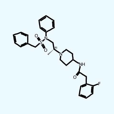 C[C@H](CN(c1ccccc1)S(=O)(=O)Cc1ccccc1)N1CCC(NC(=O)Cc2ccccc2F)CC1